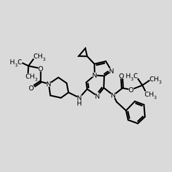 CC(C)(C)OC(=O)N1CCC(Nc2cn3c(C4CC4)cnc3c(N(Cc3ccccc3)C(=O)OC(C)(C)C)n2)CC1